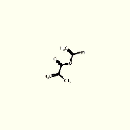 C=C(C)C(=O)OC(=C)C(C)C